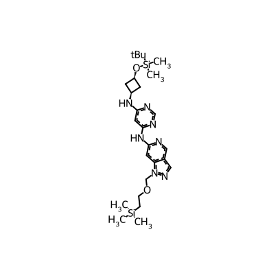 CC(C)(C)[Si](C)(C)O[C@H]1C[C@@H](Nc2cc(Nc3cc4c(cn3)cnn4COCC[Si](C)(C)C)ncn2)C1